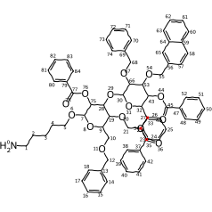 NCCCCCOC1OC(COCc2ccccc2)C(OCc2ccccc2)C(OC2OC(COC(=O)c3ccccc3)C(OC(=O)c3ccccc3)C(OCc3ccc4ccccc4c3)C2OCc2ccccc2)C1OC(=O)c1ccccc1